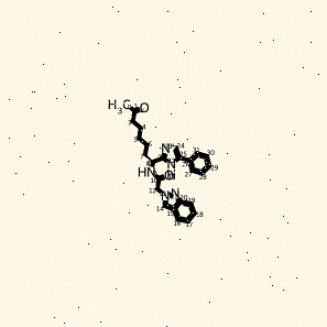 CC(=O)CCCCC[C@H](NC(=O)Cn1cc2ccccc2n1)C1=[N+]C=C(c2ccccc2)N1